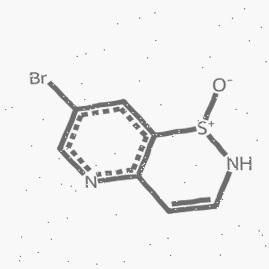 [O-][S+]1NC=Cc2ncc(Br)cc21